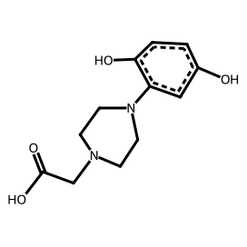 O=C(O)CN1CCN(c2cc(O)ccc2O)CC1